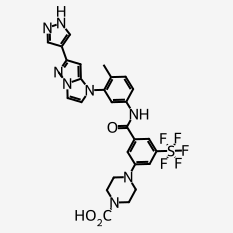 Cc1ccc(NC(=O)c2cc(N3CCN(C(=O)O)CC3)cc(S(F)(F)(F)(F)F)c2)cc1-n1ccn2nc(-c3cn[nH]c3)cc12